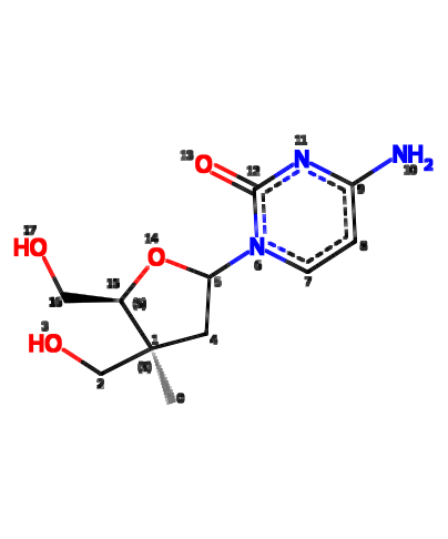 C[C@@]1(CO)CC(n2ccc(N)nc2=O)O[C@@H]1CO